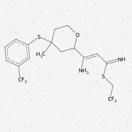 CC1(Sc2cccc(C(F)(F)F)c2)CCOC(/C(N)=C/C(=N)SCC(F)(F)F)C1